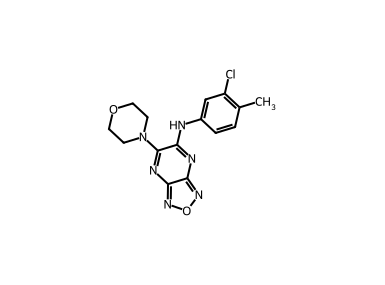 Cc1ccc(Nc2nc3nonc3nc2N2CCOCC2)cc1Cl